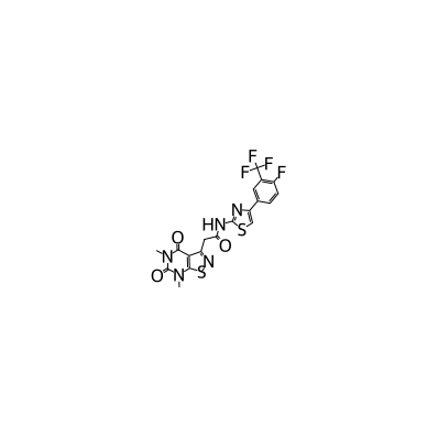 Cn1c(=O)c2c(CC(=O)Nc3nc(-c4ccc(F)c(C(F)(F)F)c4)cs3)nsc2n(C)c1=O